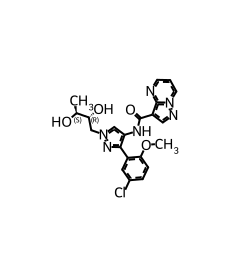 COc1ccc(Cl)cc1-c1nn(C[C@@H](O)[C@H](C)O)cc1NC(=O)c1cnn2cccnc12